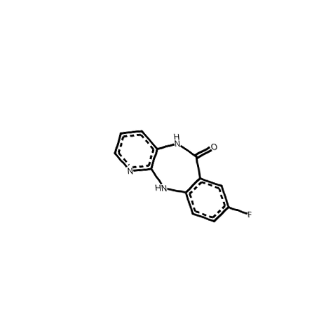 O=C1Nc2cccnc2Nc2ccc(F)cc21